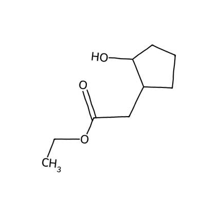 CCOC(=O)CC1CCCC1O